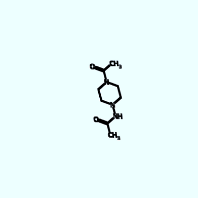 CC(=O)NN1CCN(C(C)=O)CC1